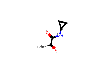 CCC[C@H](C)C(=O)C(=O)NC1CC1